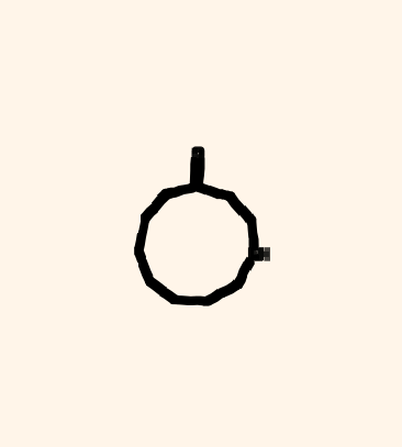 O=C1CCCCCCCNCC1